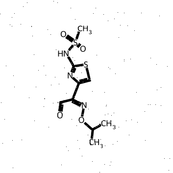 CC(C)ON=C([C]=O)c1csc(NS(C)(=O)=O)n1